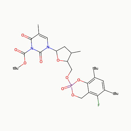 Cc1cn(C2CC(C)C(COP3(=O)OCc4c(F)c(C(C)(C)C)cc(C(C)(C)C)c4O3)O2)c(=O)n(C(=O)OC(C)(C)C)c1=O